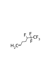 C=CCCC(F)C(F)(F)C(F)(F)F